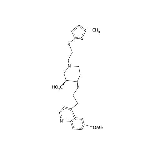 COc1ccc2nccc(CCC[C@@H]3CCN(CCSc4ccc(C)s4)C[C@@H]3C(=O)O)c2c1